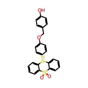 O=S1(=O)c2ccccc2[SH](c2ccc(OCc3ccc(O)cc3)cc2)c2ccccc21